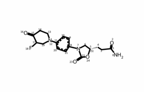 NC(=O)CC[C@H]1CN(c2ccc(N3CCC(=O)C(F)C3)cc2)C(=O)O1